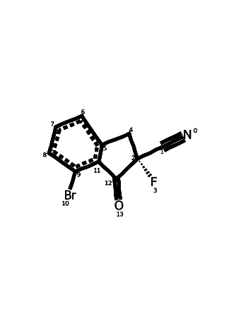 N#C[C@]1(F)Cc2cccc(Br)c2C1=O